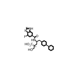 O=C(NC(Cc1ccc(-c2ccccc2)cc1)C[C@@H](CO)C(=O)O)c1cc(F)c2nn[nH]c2c1